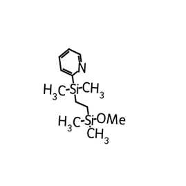 CO[Si](C)(C)CC[Si](C)(C)c1ccccn1